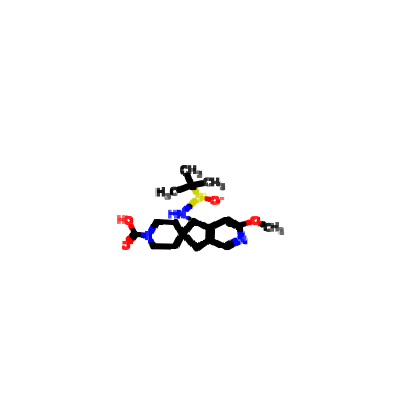 COc1cc2c(cn1)CC1(CCN(C(=O)O)CC1)[C@@H]2N[S@+]([O-])C(C)(C)C